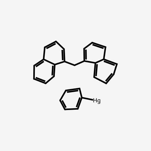 [Hg][c]1ccccc1.c1ccc2c(Cc3cccc4ccccc34)cccc2c1